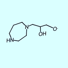 [O]CC(O)CN1CCCNCC1